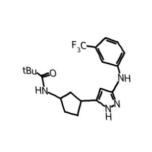 CC(C)(C)C(=O)NC1CCC(c2cc(Nc3cccc(C(F)(F)F)c3)n[nH]2)C1